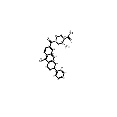 C[C@@H]1CN(C(=O)c2ccc3c(Cl)c4c(nc3c2)CC(c2ccccn2)CC4)CCN1C(=O)O